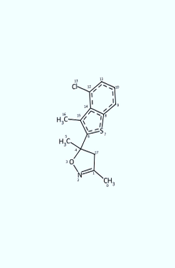 CC1=NOC(C)(c2sc3cccc(Cl)c3c2C)C1